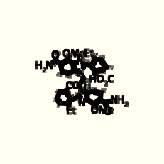 CCc1cccc(C(=O)O)c1-c1nc2c(OC)c(C(N)=O)ccc2n1CCn1c(-c2c(CC)cccc2C(=O)O)nc2c(OC)c(C(N)=O)ccc21